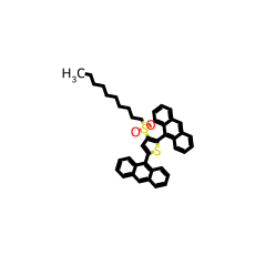 CCCCCCCCCCS(=O)(=O)c1cc(-c2c3ccccc3cc3ccccc23)sc1-c1c2ccccc2cc2ccccc12